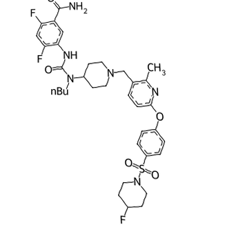 CCCCN(C(=O)Nc1cc(C(N)=O)c(F)cc1F)C1CCN(Cc2ccc(Oc3ccc(S(=O)(=O)N4CCC(F)CC4)cc3)nc2C)CC1